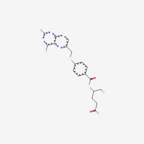 Nc1nc(N)c2nc(CNc3ccc(C(=O)NC(CO)CCC(=O)O)cc3)cnc2n1